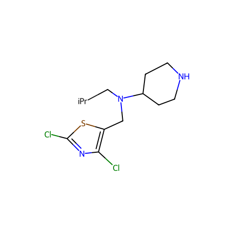 CC(C)CN(Cc1sc(Cl)nc1Cl)C1CCNCC1